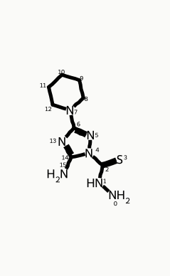 NNC(=S)n1nc(N2CCCCC2)nc1N